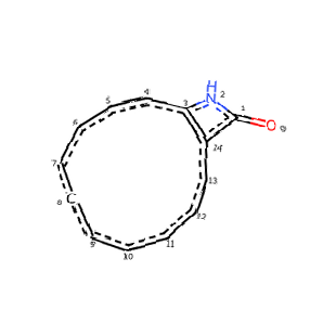 O=c1[nH]c2ccccccccccc1=2